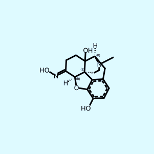 CN1CC[C@]23c4c5ccc(O)c4O[C@H]2C(=NO)CCC3(O)[C@H]1C5